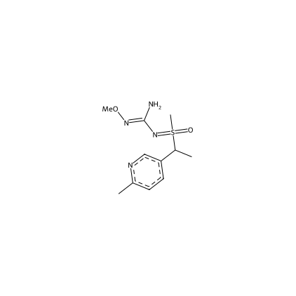 CO/N=C(\N)N=S(C)(=O)C(C)c1ccc(C)nc1